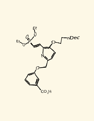 CCCCCCCCCCCCOc1ccc(COc2cccc(C(=O)O)c2)nc1C=CP(=O)(OCC)OCC